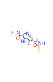 NC(=O)c1cnn2cc(-c3n[nH]c(=S)o3)cc2c1N